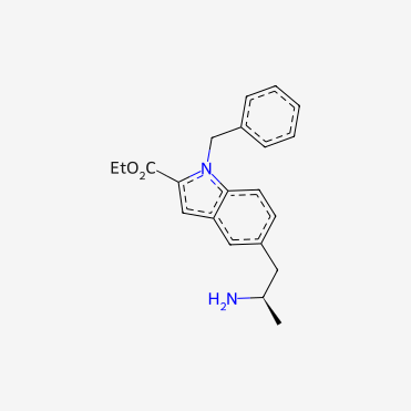 CCOC(=O)c1cc2cc(C[C@@H](C)N)ccc2n1Cc1ccccc1